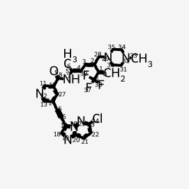 C=C(/C(=C\C=C(/C)NC(=O)c1cncc(C#Cc2cnc3ccc(Cl)nn23)c1)CN1CCN(C)CC1)C(F)(F)F